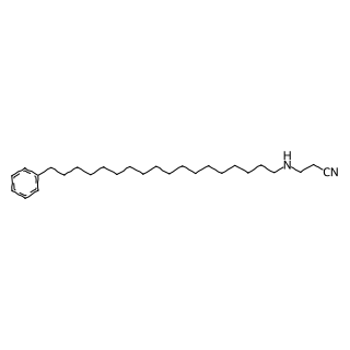 N#CCCNCCCCCCCCCCCCCCCCCCc1ccccc1